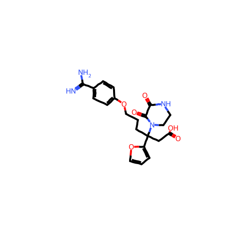 N=C(N)c1ccc(OCCCC(CC(=O)O)(c2ccco2)N2CCNC(=O)C2=O)cc1